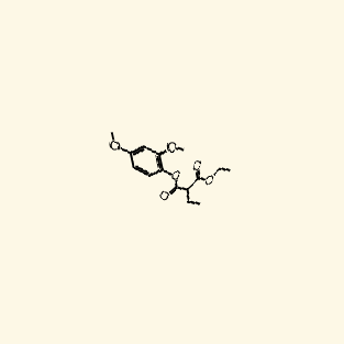 CCOC(=O)C(CC)C(=O)Oc1ccc(OC)cc1OC